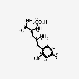 NC(=O)C(CC(N)Cc1ccc(Cl)cc1Cl)NC(=O)O